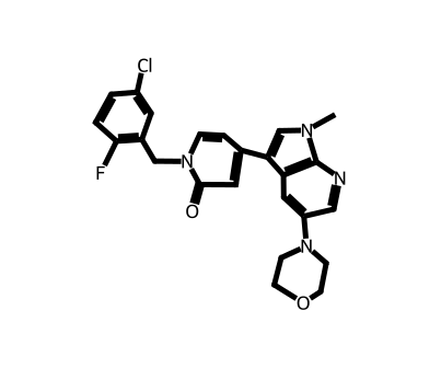 Cn1cc(-c2ccn(Cc3cc(Cl)ccc3F)c(=O)c2)c2cc(N3CCOCC3)cnc21